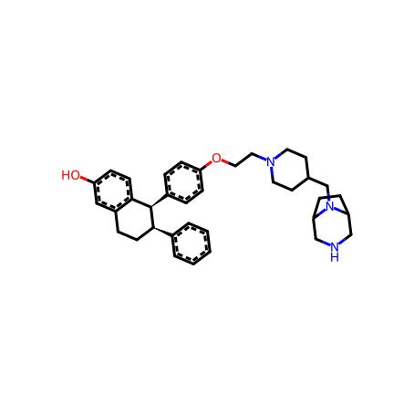 Oc1ccc2c(c1)CC[C@H](c1ccccc1)[C@@H]2c1ccc(OCCN2CCC(CN3C4CCC3CNC4)CC2)cc1